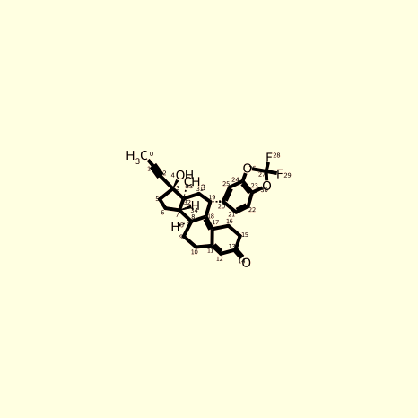 CC#C[C@@]1(O)CC[C@H]2[C@@H]3CCC4=CC(=O)CCC4=C3[C@@H](c3ccc4c(c3)OC(F)(F)O4)C[C@@]21C